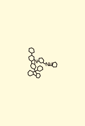 C1CCC(CNCC2CCCC(N3C4CC(C5CCCCC5)CCC4C4CCC(C5(C6CCCCC6)C6CCCCC6C6CCCCC65)CC43)C2)CC1